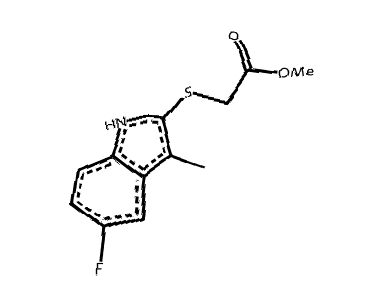 COC(=O)CSc1[nH]c2ccc(F)cc2c1C